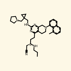 CCCN[C@@H](CC#N)CCc1nc(NCC2(CN3CCCC3)CC2)nc2c1CCN(c1cccc3cccc(C)c13)C2